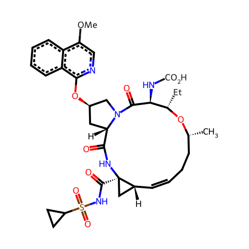 CC[C@@H]1O[C@H](C)CC/C=C\[C@@H]2C[C@@]2(C(=O)NS(=O)(=O)C2CC2)NC(=O)[C@@H]2C[C@@H](Oc3ncc(OC)c4ccccc34)CN2C(=O)[C@H]1NC(=O)O